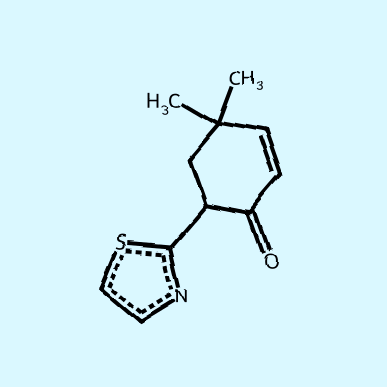 CC1(C)C=CC(=O)C(c2nccs2)C1